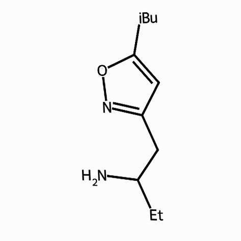 CCC(N)Cc1cc(C(C)CC)on1